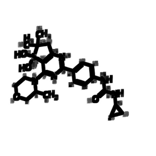 CC1COCCN1c1nc(-c2ccc(NC(=O)NC3CC3)cc2)nc2c1S(O)(O)C(C)(C)C2